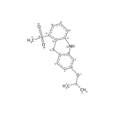 CC(C)Oc1ccc2c(c1)Nc1cccc(S(C)(=O)=O)c1S2